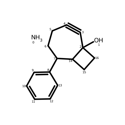 N.OC12C#CCCC(c3ccccc3)C1CC2